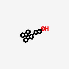 Oc1ccc2cc(-c3ccc4c(c3)C3(c5ccccc5-c5ccccc53)c3ccccc3-4)ccc2c1